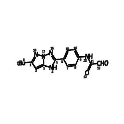 CC(C)(C)c1cc2[nH]c(-c3ccc(NC(=O)C=O)cc3)nn2n1